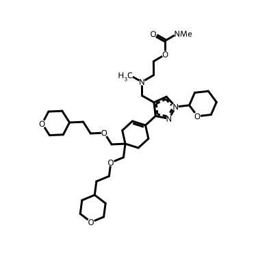 CNC(=O)OCCN(C)Cc1cn(C2CCCCO2)nc1C1=CCC(COCCC2CCOCC2)(COCCC2CCOCC2)CC1